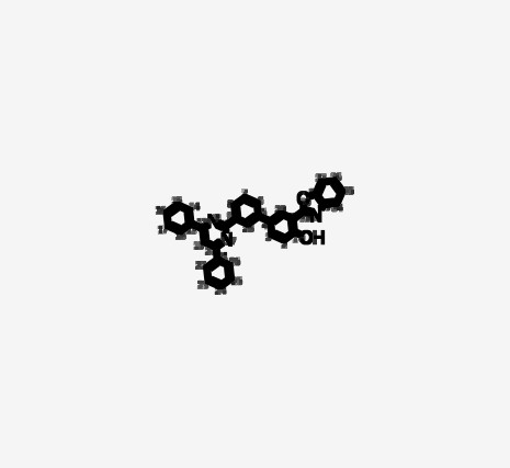 Oc1ccc(-c2cccc(-c3nc(-c4ccccc4)cc(-c4ccccc4)n3)c2)cc1-c1nc2ccccc2o1